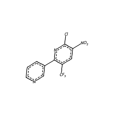 O=[N+]([O-])c1cc(C(F)(F)F)c(-c2cccnc2)nc1Cl